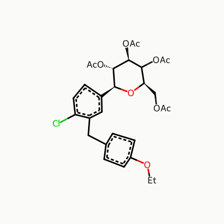 CCOc1ccc(Cc2cc([C@@H]3O[C@H](COC(C)=O)C(OC(C)=O)[C@H](OC(C)=O)[C@H]3OC(C)=O)ccc2Cl)cc1